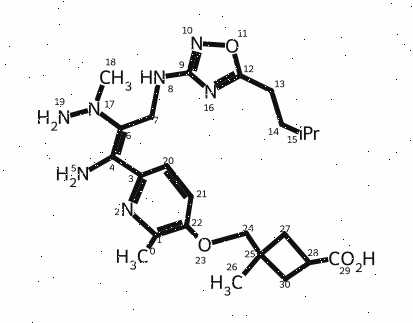 Cc1nc(/C(N)=C(\CNc2noc(CCC(C)C)n2)N(C)N)ccc1OCC1(C)CC(C(=O)O)C1